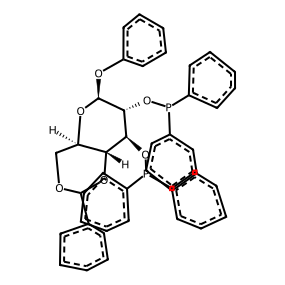 c1ccc(O[C@@H]2O[C@@H]3COC(c4ccccc4)O[C@H]3[C@H](OP(c3ccccc3)c3ccccc3)[C@H]2OP(c2ccccc2)c2ccccc2)cc1